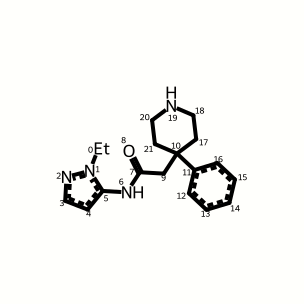 CCn1nccc1NC(=O)CC1(c2ccccc2)CCNCC1